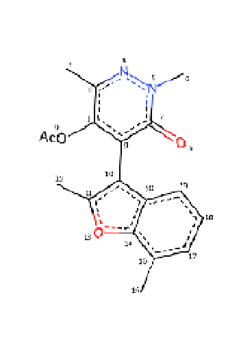 CC(=O)Oc1c(C)nn(C)c(=O)c1-c1c(C)oc2c(C)cccc12